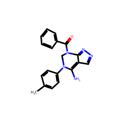 Cc1ccc(N2CN(C(=O)c3ccccc3)C3=NN=CC3=C2N)cc1